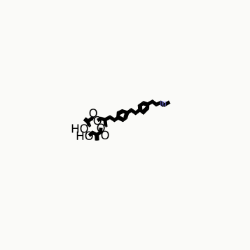 C=C(CO)C(=O)OCC(CCc1ccc(CCc2ccc(CC/C=C/C)cc2)cc1)COC(=O)C(=C)CO